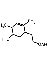 COCCC1CC(C)C(C)C=C1C